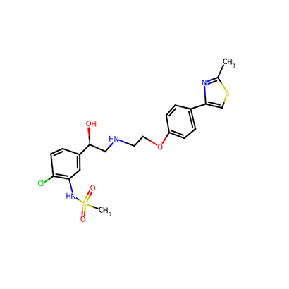 Cc1nc(-c2ccc(OCCNC[C@H](O)c3ccc(Cl)c(NS(C)(=O)=O)c3)cc2)cs1